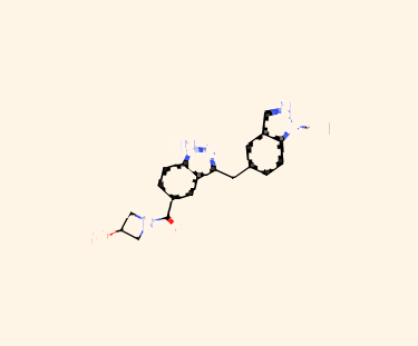 Cn1ncc2cc(Cc3n[nH]c4ccc(C(=O)N5CC(O)C5)cc34)ccc21